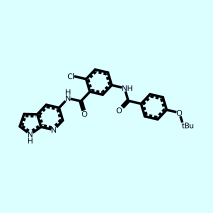 CC(C)(C)Oc1ccc(C(=O)Nc2ccc(Cl)c(C(=O)Nc3cnc4[nH]ccc4c3)c2)cc1